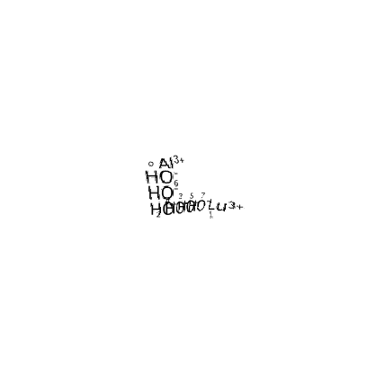 [Al+3].[Lu+3].[OH-].[OH-].[OH-].[OH-].[OH-].[OH-]